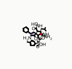 CC(C)C[C@@H](C(=O)NN)[C@H](C(=O)NO)C(/C=C/c1ccccc1)(C(=O)[C@@H](C)N)C1CCOCC1.Cc1ccc(S(=O)(=O)O)cc1